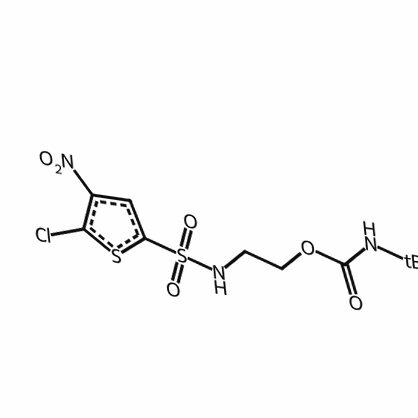 CC(C)(C)NC(=O)OCCNS(=O)(=O)c1cc([N+](=O)[O-])c(Cl)s1